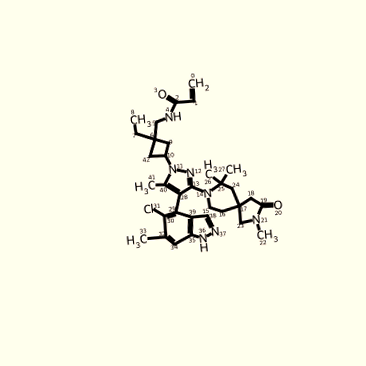 C=CC(=O)NCC1(CC)CC(n2nc(N3CCC4(CC(=O)N(C)C4)CC3(C)C)c(-c3c(Cl)c(C)cc4[nH]ncc34)c2C)C1